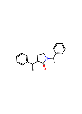 C[C@@H](c1ccccc1)C1CCN([C@@H](C)c2ccccc2)C1=O